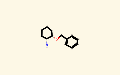 [N][C@@H]1CCCC[C@@H]1OCc1ccccc1